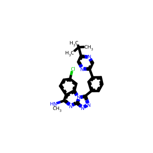 CNc1nc2nnc(-c3cccc(-c4cnc(C(C)(C)C)cn4)c3)n2c2cc(Cl)ccc12